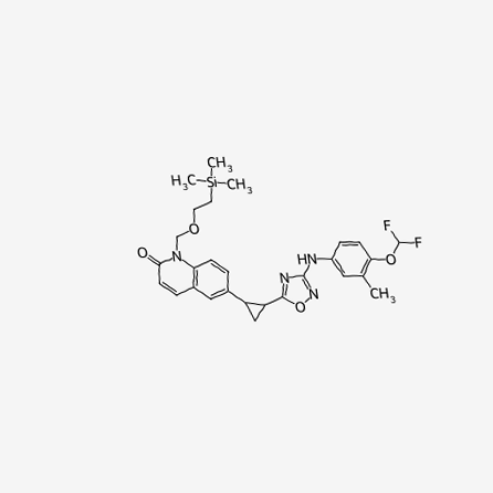 Cc1cc(Nc2noc(C3CC3c3ccc4c(ccc(=O)n4COCC[Si](C)(C)C)c3)n2)ccc1OC(F)F